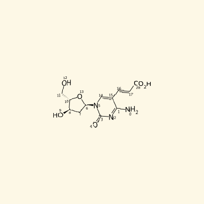 Nc1nc(=O)n([C@H]2C[C@@H](O)[C@H](CO)O2)cc1C=CC(=O)O